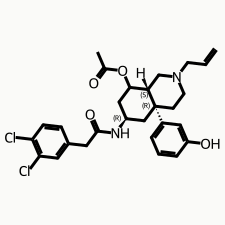 C=CCN1CC[C@@]2(c3cccc(O)c3)C[C@@H](NC(=O)Cc3ccc(Cl)c(Cl)c3)CC(OC(C)=O)[C@@H]2C1